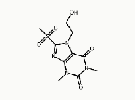 Cn1c(=O)c2c(nc(S(C)(=O)=O)n2CCO)n(C)c1=O